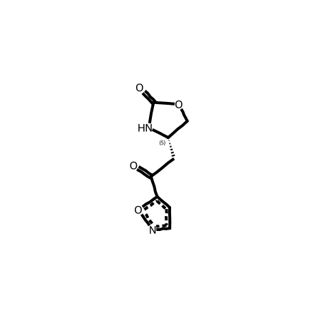 O=C1N[C@@H](CC(=O)c2ccno2)CO1